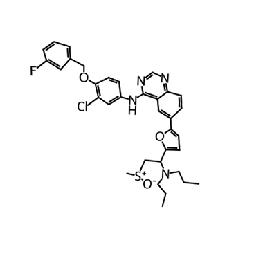 CCCN(CCC)C(C[S+](C)[O-])c1ccc(-c2ccc3ncnc(Nc4ccc(OCc5cccc(F)c5)c(Cl)c4)c3c2)o1